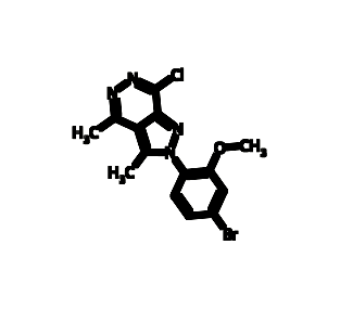 COc1cc(Br)ccc1-n1nc2c(Cl)nnc(C)c2c1C